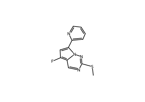 CSc1ncc2c(F)cc(-c3ccccn3)n2n1